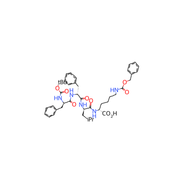 CC(C)C[C@@H](NC(=O)[C@@H](Cc1ccccc1)NC(=O)[C@@H](Cc1ccccc1)NC(=O)OC(C)(C)C)C(=O)N[C@H](CCCCNC(=O)OCc1ccccc1)C(=O)O